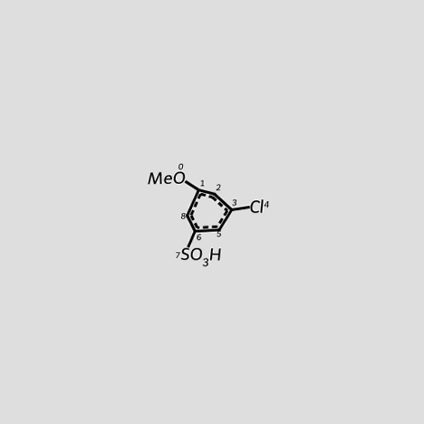 COc1cc(Cl)cc(S(=O)(=O)O)c1